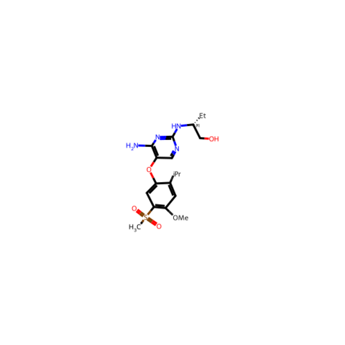 CC[C@H](CO)Nc1ncc(Oc2cc(S(C)(=O)=O)c(OC)cc2C(C)C)c(N)n1